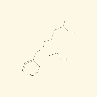 CC(O)CCCN(CCO)Cc1ccccc1